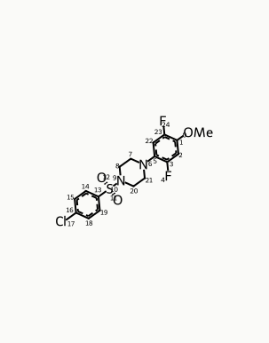 COc1cc(F)c(N2CCN(S(=O)(=O)c3ccc(Cl)cc3)CC2)cc1F